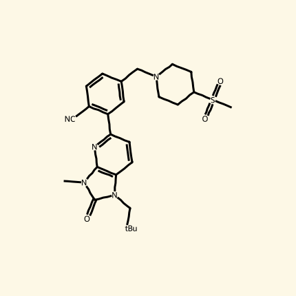 Cn1c(=O)n(CC(C)(C)C)c2ccc(-c3cc(CN4CCC(S(C)(=O)=O)CC4)ccc3C#N)nc21